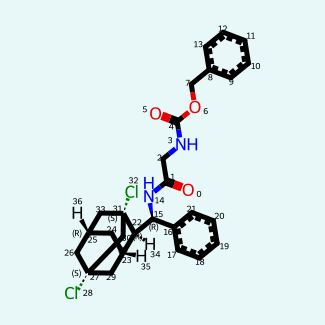 O=C(CNC(=O)OCc1ccccc1)N[C@@H](c1ccccc1)[C@H]1[C@H]2C[C@@H]3C[C@](Cl)(C2)C[C@@]1(Cl)C3